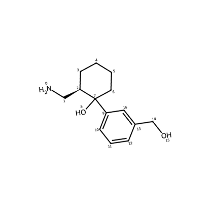 NC[C@H]1CCCCC1(O)c1cccc(CO)c1